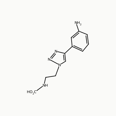 Nc1cccc(-c2cn(CCNC(=O)O)nn2)c1